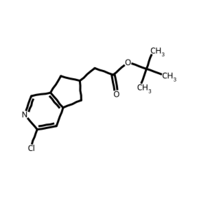 CC(C)(C)OC(=O)CC1Cc2cnc(Cl)cc2C1